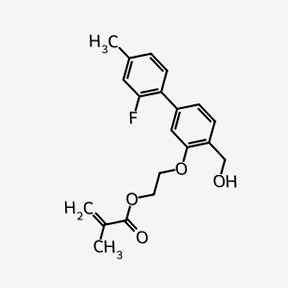 C=C(C)C(=O)OCCOc1cc(-c2ccc(C)cc2F)ccc1CO